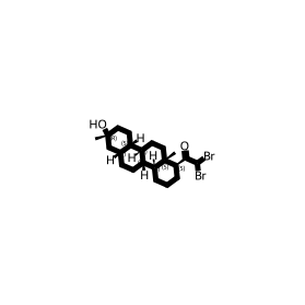 C[C@@]1(O)CC[C@H]2[C@H](CC[C@@H]3[C@@H]2CC[C@]2(C)[C@@H](C(=O)C(Br)Br)CCC[C@@H]32)C1